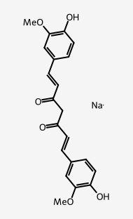 COc1cc(C=CC(=O)CC(=O)C=Cc2ccc(O)c(OC)c2)ccc1O.[Na]